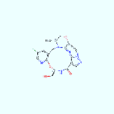 C[C@@H]1COc2cn3ncc4c3nc2N1Cc1cc(F)cnc1O[C@H](CO)NC4=O